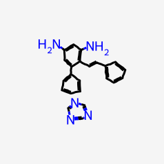 Nc1cc(N)c(C=Cc2ccccc2)c(-c2ccccc2)c1.c1ncncn1